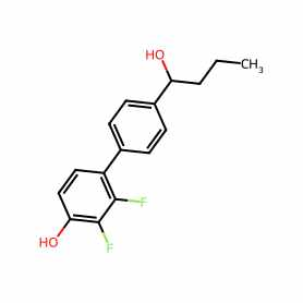 CCCC(O)c1ccc(-c2ccc(O)c(F)c2F)cc1